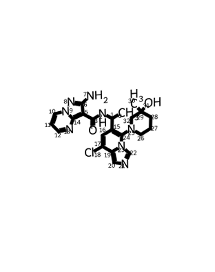 CC(NC(=O)c1c(N)nn2cccnc12)c1cc(Cl)c2cncn2c1N1CCCC(C)(O)C1